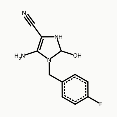 N#CC1=C(N)N(Cc2ccc(F)cc2)C(O)N1